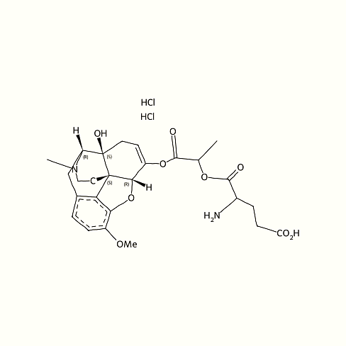 COc1ccc2c3c1O[C@H]1C(OC(=O)C(C)OC(=O)C(N)CCC(=O)O)=CC[C@@]4(O)[C@@H](C2)N(C)CC[C@]314.Cl.Cl